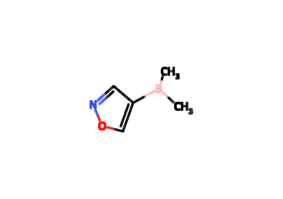 CB(C)c1cnoc1